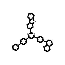 c1ccc(-c2ccc(-c3cc(-c4ccc(-c5cccc6cccnc56)cc4)nc(-c4ccc5c(c4)oc4ccccc45)n3)cc2)cc1